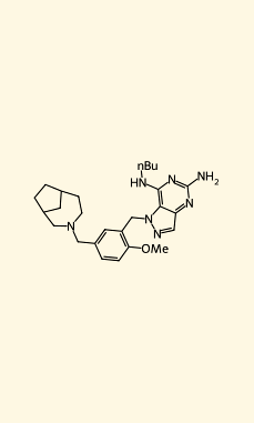 CCCCNc1nc(N)nc2cnn(Cc3cc(CN4CCC5CCC(C5)C4)ccc3OC)c12